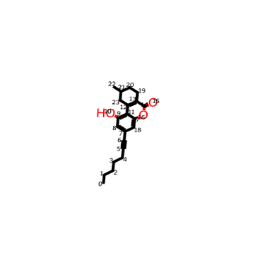 CCCCCC#Cc1cc(O)c2c3c(c(=O)oc2c1)CCC(C)C3